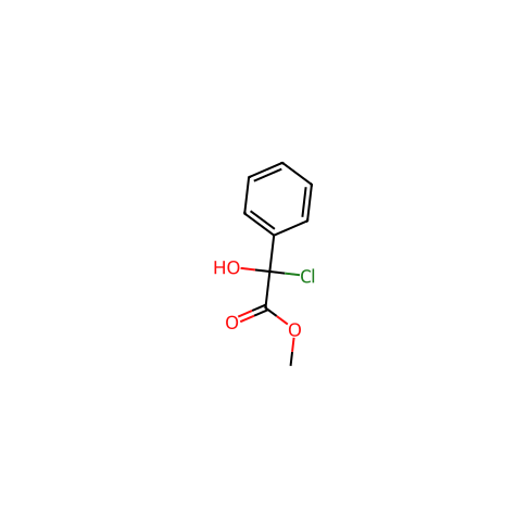 COC(=O)C(O)(Cl)c1ccccc1